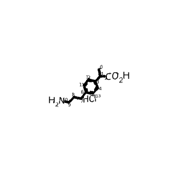 CC(C(=O)O)c1ccc(CCCN)cc1.Cl